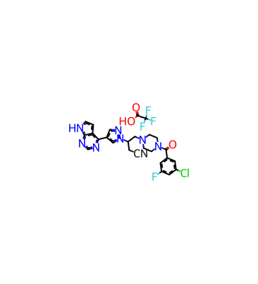 N#CCC(CN1CCN(C(=O)c2cc(F)cc(Cl)c2)CC1)n1cc(-c2ncnc3[nH]ccc23)cn1.O=C(O)C(F)(F)F